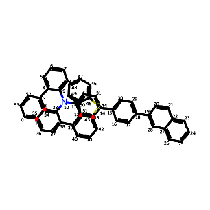 c1ccc(-c2ccccc2N(c2ccc(-c3ccc(-c4ccc5ccccc5c4)cc3)cc2)c2ccccc2-c2cccc3sc4ccccc4c23)cc1